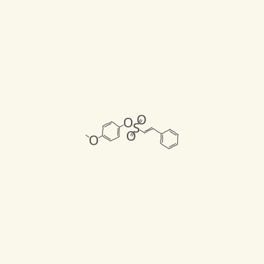 COc1ccc(OS(=O)(=O)/C=C/c2ccccc2)cc1